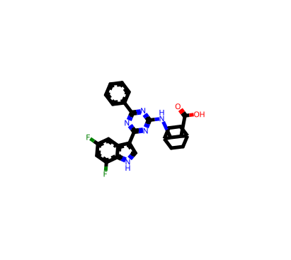 O=C(O)C1C2CCC(CC2)C1Nc1nc(-c2ccccc2)nc(-c2c[nH]c3c(F)cc(F)cc23)n1